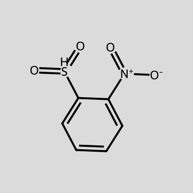 O=[N+]([O-])c1ccccc1[SH](=O)=O